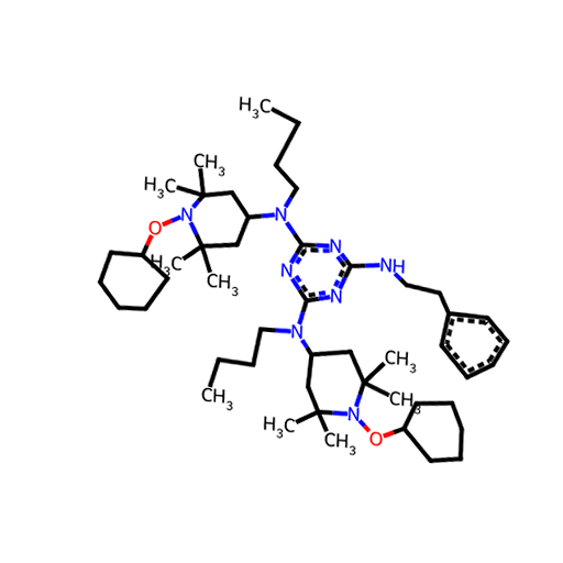 CCCCN(c1nc(NCCc2ccccc2)nc(N(CCCC)C2CC(C)(C)N(OC3CCCCC3)C(C)(C)C2)n1)C1CC(C)(C)N(OC2CCCCC2)C(C)(C)C1